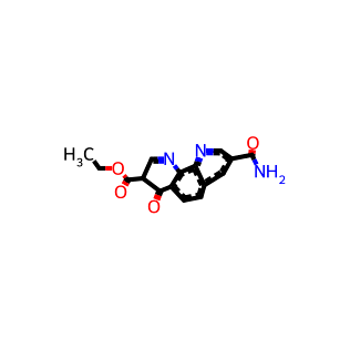 CCOC(=O)C1C=Nc2c(ccc3cc(C(N)=O)cnc23)C1=O